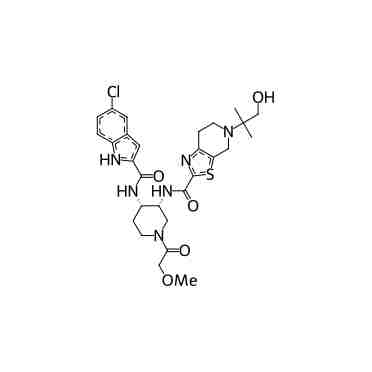 COCC(=O)N1CC[C@H](NC(=O)c2cc3cc(Cl)ccc3[nH]2)[C@H](NC(=O)c2nc3c(s2)CN(C(C)(C)CO)CC3)C1